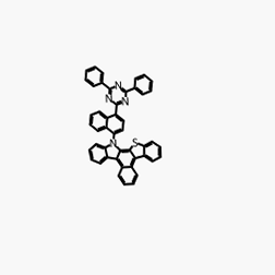 c1ccc(-c2nc(-c3ccccc3)nc(-c3ccc(-n4c5ccccc5c5c6ccccc6c6c7ccccc7sc6c54)c4ccccc34)n2)cc1